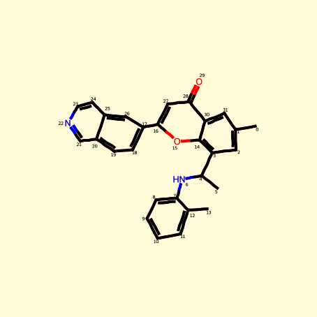 Cc1cc(C(C)Nc2ccccc2C)c2oc(-c3ccc4cnccc4c3)cc(=O)c2c1